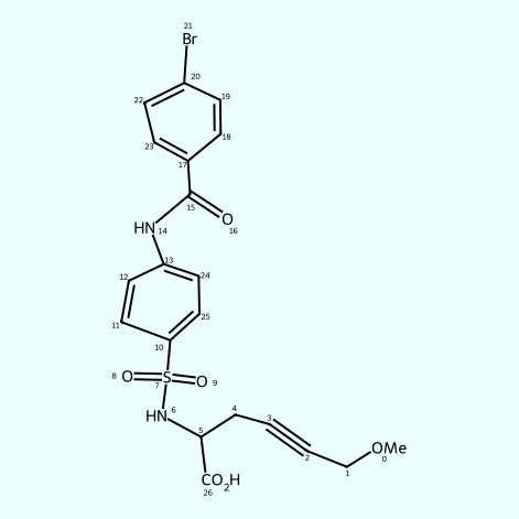 COCC#CCC(NS(=O)(=O)c1ccc(NC(=O)c2ccc(Br)cc2)cc1)C(=O)O